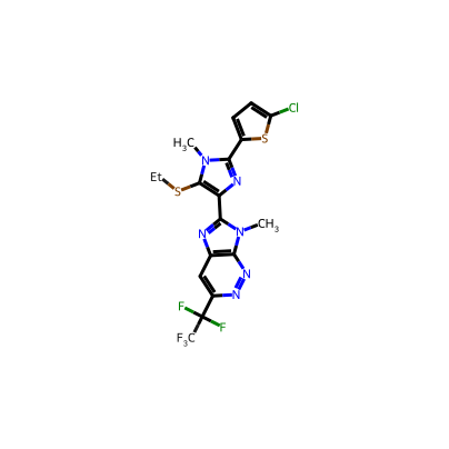 CCSc1c(-c2nc3cc(C(F)(F)C(F)(F)F)nnc3n2C)nc(-c2ccc(Cl)s2)n1C